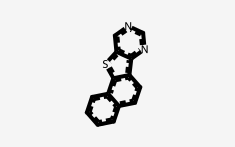 c1ccc2c(c1)ccc1c3ncncc3sc21